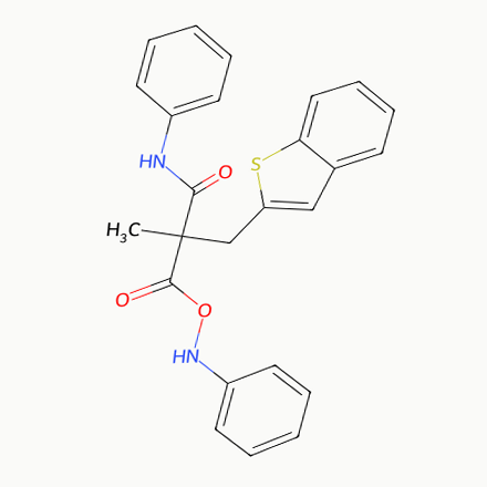 CC(Cc1cc2ccccc2s1)(C(=O)Nc1ccccc1)C(=O)ONc1ccccc1